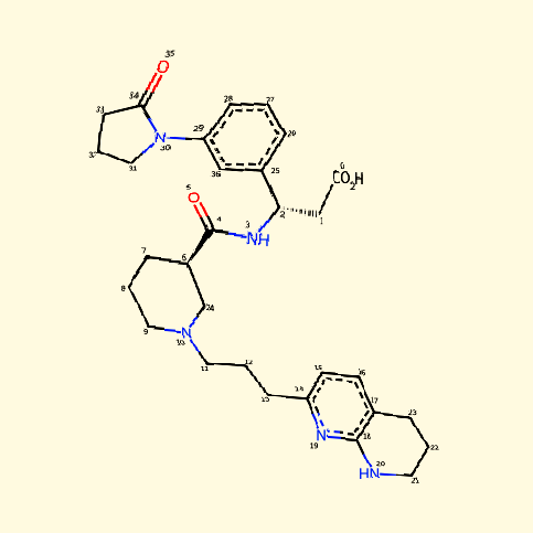 O=C(O)C[C@H](NC(=O)[C@@H]1CCCN(CCCc2ccc3c(n2)NCCC3)C1)c1cccc(N2CCCC2=O)c1